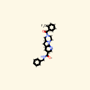 O=C(NCc1ccccc1)c1cnc2c(c1)CC1CN(C(=O)c3ccccc3C(F)(F)F)CCN21